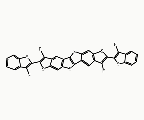 Fc1c(-c2sc3cc4sc5c6cc7c(F)c(-c8sc9ccccc9c8F)sc7cc6sc5c4cc3c2F)sc2ccccc12